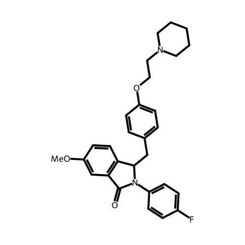 COc1ccc2c(c1)C(=O)N(c1ccc(F)cc1)C2Cc1ccc(OCCN2CCCCC2)cc1